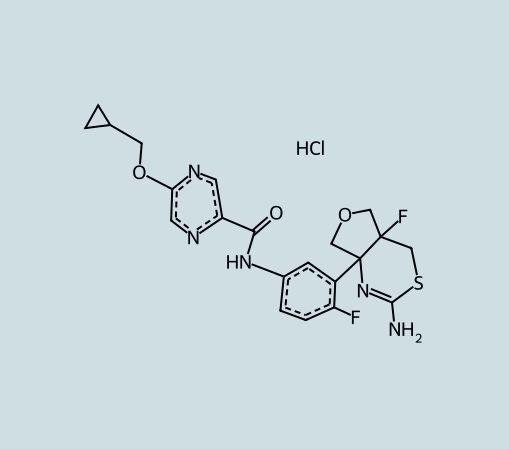 Cl.NC1=NC2(c3cc(NC(=O)c4cnc(OCC5CC5)cn4)ccc3F)COCC2(F)CS1